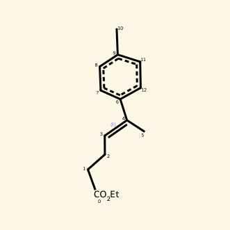 CCOC(=O)CC/C=C(\C)c1ccc(C)cc1